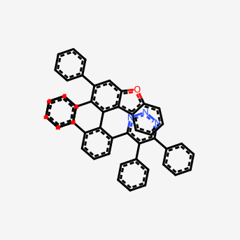 c1ccc(-c2cccc(-c3nnnc(-c4ccccc4)c3-c3ccccc3)c2-c2c(-c3ccccc3)c(-c3ccccc3)cc3oc4ccccc4c23)cc1